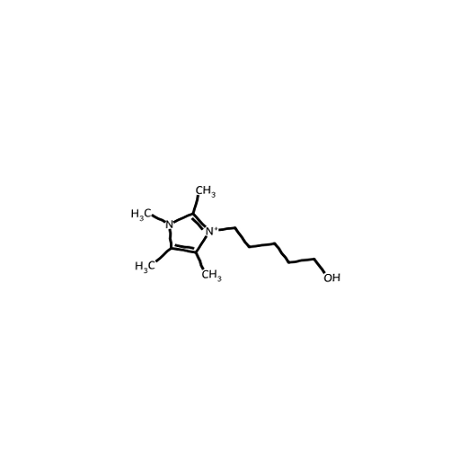 Cc1c(C)[n+](CCCCCO)c(C)n1C